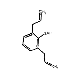 C=CCc1cccc(CC=C)c1OC(C)=O